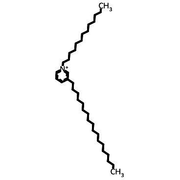 CCCCCCCCCCCCCCCCCCc1ccc[n+](CCCCCCCCCCCCC)c1